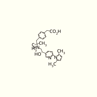 Cc1ccc(C)n1-c1ccc([C@H](O)CNC(C)(C)Cc2ccc(CC(=O)O)cc2)cn1